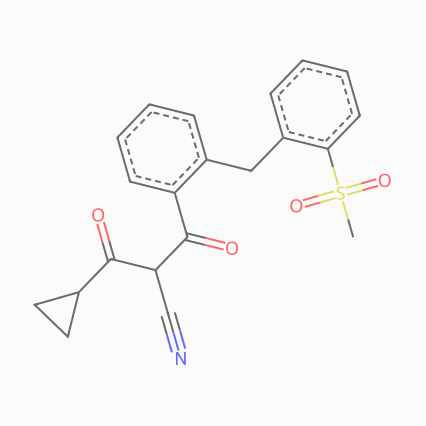 CS(=O)(=O)c1ccccc1Cc1ccccc1C(=O)C(C#N)C(=O)C1CC1